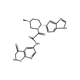 C[C@H]1CC[C@H](c2ccc3[nH]cnc3c2)N(C(=O)C(=O)Nc2cnc3c(c2)C(=O)CNO3)C1